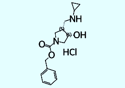 Cl.O=C(OCc1ccccc1)N1C[C@H](CNC2CC2)[C@H](O)C1